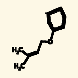 CC(C)=CCOc1c[c]ccc1